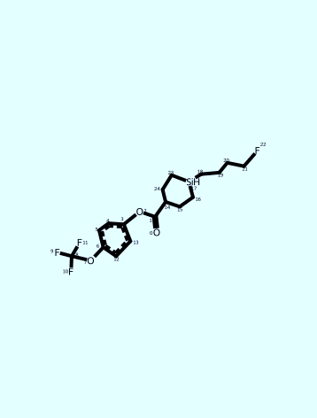 O=C(Oc1ccc(OC(F)(F)F)cc1)C1CC[SiH](CCCCF)CC1